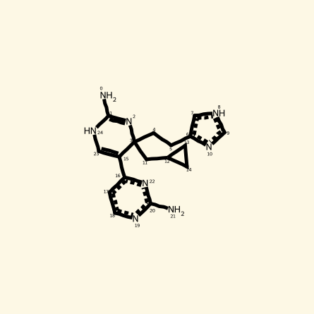 NC1=NC(CCc2c[nH]cn2)(CC2CC2)C(c2ccnc(N)n2)=CN1